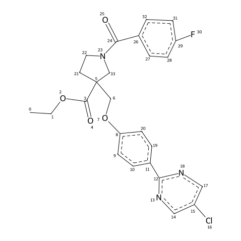 CCOC(=O)C1(COc2ccc(-c3ncc(Cl)cn3)cc2)CCN(C(=O)c2ccc(F)cc2)C1